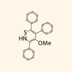 COC1=C(c2ccccc2)NSC(c2ccccc2)=C1c1ccccc1